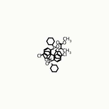 COC(=O)C(C)Oc1c(Cl)ccc(P(=O)(C2CCCCC2)C2CCCCC2)c1-c1c(P(=O)(C2CCCCC2)C2CCCCC2)ccc(Cl)c1O